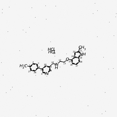 Cc1ccc(-c2cncc(CNCCOc3cccc4[nH]c(C)cc34)c2)cc1.Cl.Cl